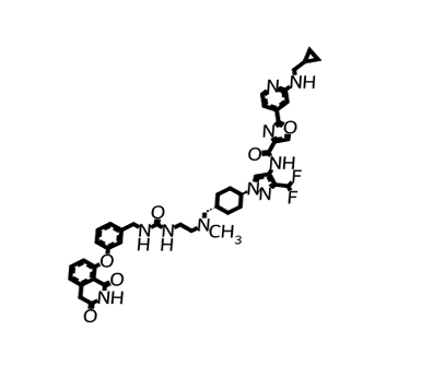 CN(CCNC(=O)NCc1cccc(Oc2cccc3c2C(=O)NC(=O)C3)c1)C[C@H]1CC[C@H](n2cc(NC(=O)c3coc(-c4ccnc(NCC5CC5)c4)n3)c(C(F)F)n2)CC1